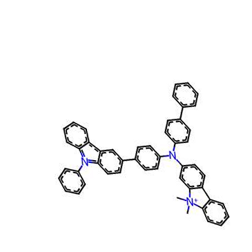 C[N+]1(C)c2ccccc2-c2ccc(N(c3ccc(-c4ccccc4)cc3)c3ccc(-c4ccc5c(c4)c4ccccc4n5-c4ccccc4)cc3)cc21